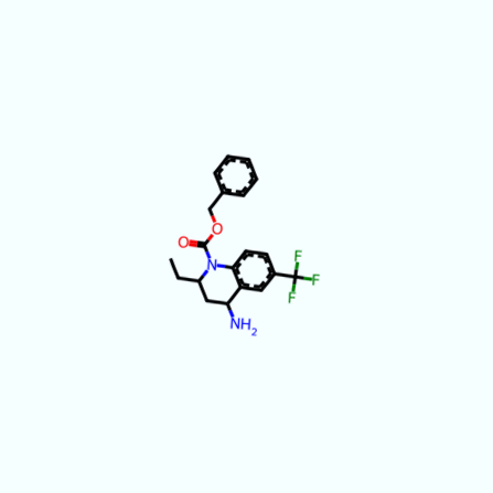 CCC1CC(N)c2cc(C(F)(F)F)ccc2N1C(=O)OCc1ccccc1